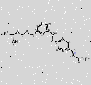 CCCCC(O)CCCOc1cccc(OCc2ccc(/C=C/C(=O)OCC)cc2)c1